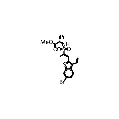 C=Cc1c(/C=C(\C)S(=O)(=O)N[C@H](C(=O)OC)C(C)C)sc2cc(Br)ccc12